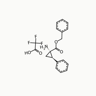 N[C@@]1(C(=O)OCc2ccccc2)C[C@@H]1c1ccccc1.O=C(O)C(F)(F)F